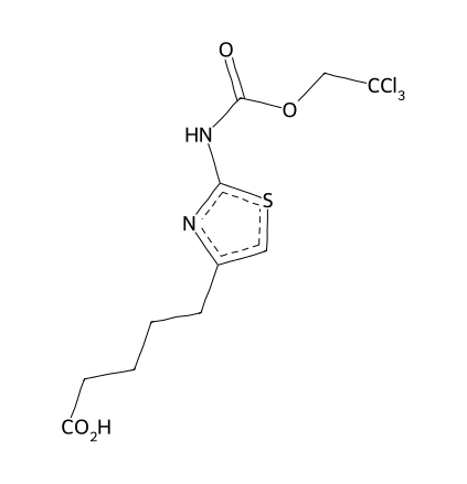 O=C(O)CCCCc1csc(NC(=O)OCC(Cl)(Cl)Cl)n1